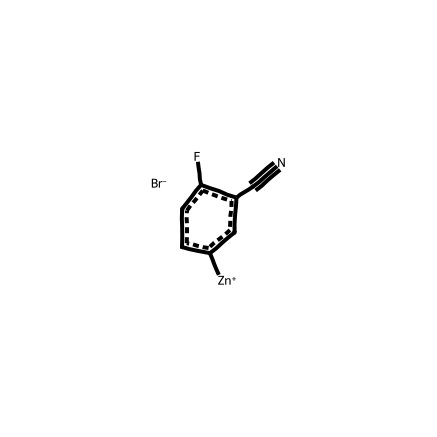 N#Cc1c[c]([Zn+])ccc1F.[Br-]